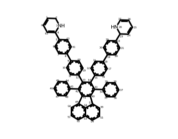 C1=CCNC(c2ccc(-c3ccc(-c4c(-c5ccc(-c6ccc(C7C=CC=CN7)cc6)cc5)c(-c5ccccc5)c5c(c4-c4ccccc4)-c4cccc6cccc-5c46)cc3)cc2)=C1